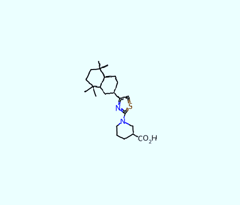 CC1(C)CCC(C)(C)C2CC(c3csc(N4CCCC(C(=O)O)C4)n3)CCC21